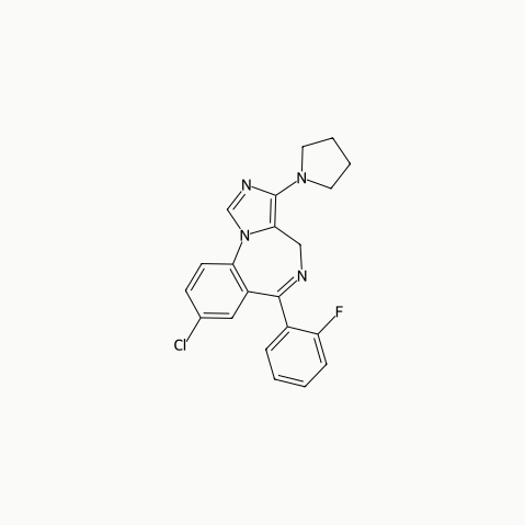 Fc1ccccc1C1=NCc2c(N3CCCC3)ncn2-c2ccc(Cl)cc21